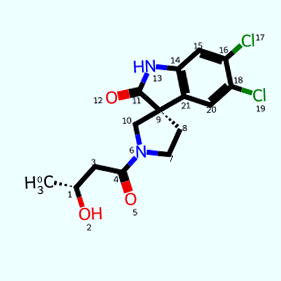 C[C@@H](O)CC(=O)N1CC[C@]2(C1)C(=O)Nc1cc(Cl)c(Cl)cc12